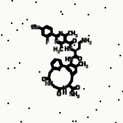 Cc1cc2cc(c1NC(=O)[C@H](CCN)NC(=O)c1c(C)nc(-c3ccc(C(C)(C)C)cc3F)nc1C)-c1cccc(c1)CC(=O)NCC(=O)NC(C(N)=O)C2